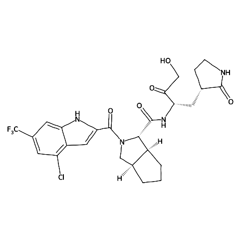 O=C1NCC[C@H]1C[C@H](NC(=O)[C@@H]1[C@H]2CCC[C@H]2CN1C(=O)c1cc2c(Cl)cc(C(F)(F)F)cc2[nH]1)C(=O)CO